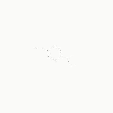 COc1ccc(C(C)C=O)nc1